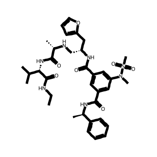 CCNC(=O)[C@@H](NC(=O)[C@H](C)NC[C@H](Cc1ccco1)NC(=O)c1cc(C(=O)N[C@H](C)c2ccccc2)cc(N(C)S(C)(=O)=O)c1)C(C)C